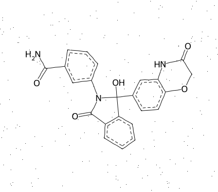 NC(=O)c1cccc(N2C(=O)c3ccccc3C2(O)c2ccc3c(c2)NC(=O)CO3)c1